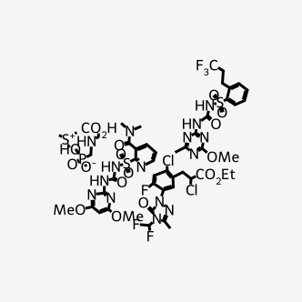 CCOC(=O)C(Cl)Cc1cc(-n2nc(C)n(C(F)F)c2=O)c(F)cc1Cl.COc1cc(OC)nc(NC(=O)NS(=O)(=O)c2ncccc2C(=O)N(C)C)n1.COc1nc(C)nc(NC(=O)NS(=O)(=O)c2ccccc2CCC(F)(F)F)n1.C[S+](C)C.O=C(O)CNCP(=O)([O-])O